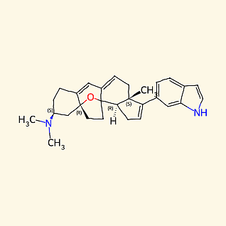 CN(C)[C@H]1CCC2=CC3=CC[C@]4(C)C(c5ccc6cc[nH]c6c5)=CC[C@H]4C34CC[C@]2(C1)O4